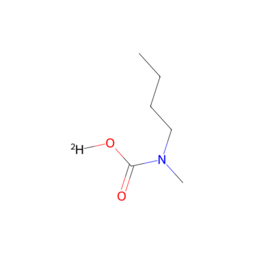 [2H]OC(=O)N(C)CCCC